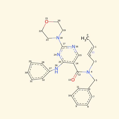 C/C=C/CN(Cc1ccccc1)C(=O)c1cnc(N2CCOCC2)nc1Nc1ccccc1